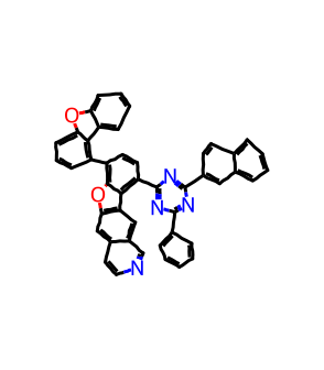 c1ccc(-c2nc(-c3ccc4ccccc4c3)nc(-c3ccc(-c4cccc5oc6ccccc6c45)c4oc5cc6ccncc6cc5c34)n2)cc1